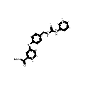 CNC(=O)c1cc(Oc2ccc(CNC(=O)Nc3cccnc3)cc2)ccn1